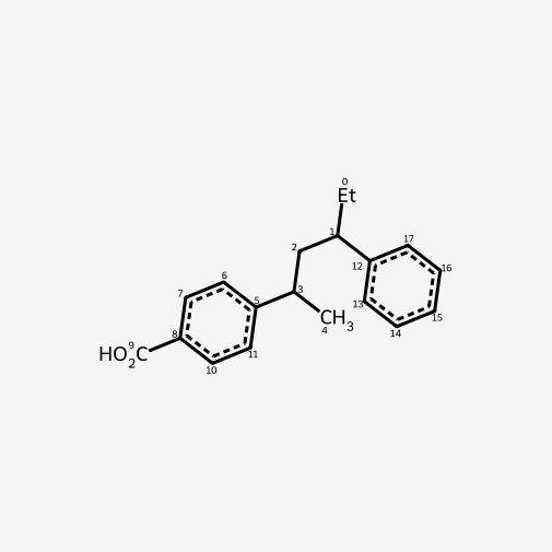 CCC(CC(C)c1ccc(C(=O)O)cc1)c1ccccc1